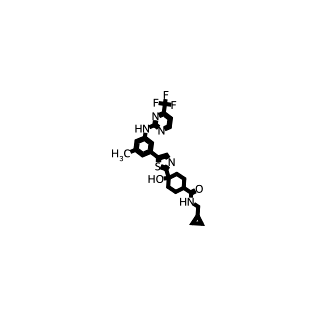 Cc1cc(Nc2nccc(C(F)(F)F)n2)cc(-c2cnc(C3(O)CCC(C(=O)NCC4CC4)CC3)s2)c1